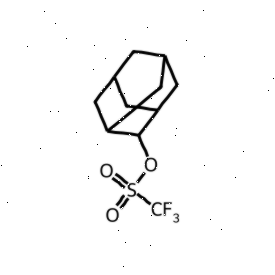 O=S(=O)(OC1C2CC3CC(C2)CC1C3)C(F)(F)F